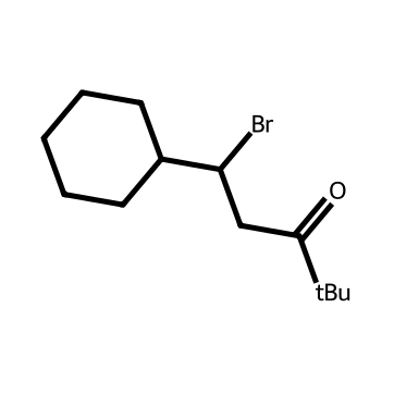 CC(C)(C)C(=O)CC(Br)C1CCCCC1